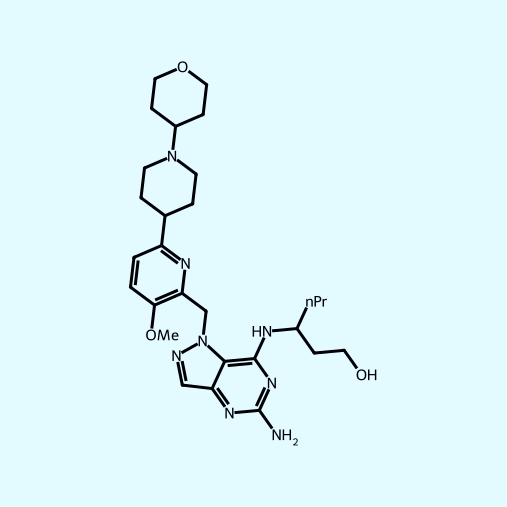 CCCC(CCO)Nc1nc(N)nc2cnn(Cc3nc(C4CCN(C5CCOCC5)CC4)ccc3OC)c12